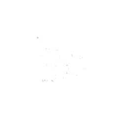 COC(=O)c1ccc(C(=O)O)cc1C1CCCCC1